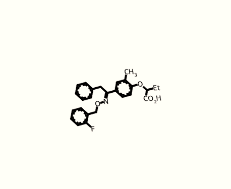 CCC(Oc1ccc(C(Cc2ccccc2)=NOCc2ccccc2F)cc1C)C(=O)O